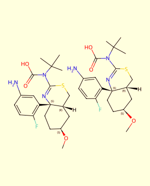 CO[C@H]1CC[C@]2(c3cc(N)ccc3F)N=C(N(C(=O)O)C(C)(C)C)SC[C@@H]2C1.CO[C@H]1CC[C@]2(c3cc(N)ccc3F)N=C(N(C(=O)O)C(C)(C)C)SC[C@@H]2C1